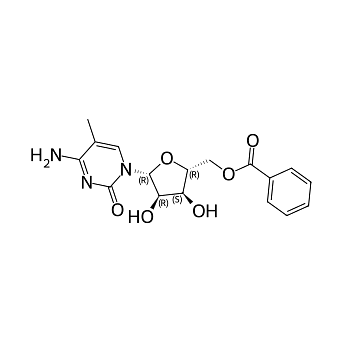 Cc1cn([C@@H]2O[C@H](COC(=O)c3ccccc3)[C@@H](O)[C@H]2O)c(=O)nc1N